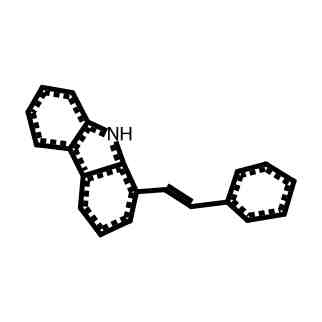 C(=Cc1cccc2c1[nH]c1ccccc12)c1ccccc1